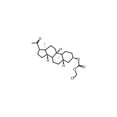 CC(=O)C1CC[C@H]2C3CC[C@H]4C[C@H](OC(=O)OCCl)CC[C@]4(C)[C@H]3CC[C@]12C